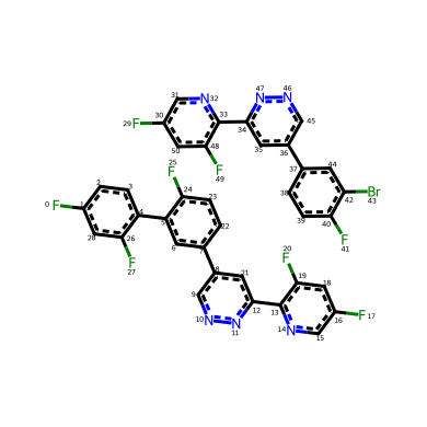 Fc1ccc(-c2cc(-c3cnnc(-c4ncc(F)cc4F)c3)ccc2F)c(F)c1.Fc1cnc(-c2cc(-c3ccc(F)c(Br)c3)cnn2)c(F)c1